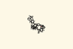 CN(C)C(=O)c1ccc(-c2cc3c(n4cnnc24)NCc2c(F)ccc4c2[C@@H](CO4)CO3)cn1